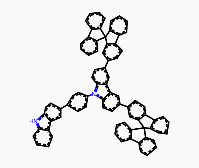 c1ccc2c(c1)-c1ccccc1C21c2ccccc2-c2ccc(-c3ccc4c(c3)c3cc(-c5ccc6c(c5)C5(c7ccccc7-c7ccccc75)c5ccccc5-6)ccc3n4-c3ccc(-c4ccc5[nH]c6ccccc6c5c4)cc3)cc21